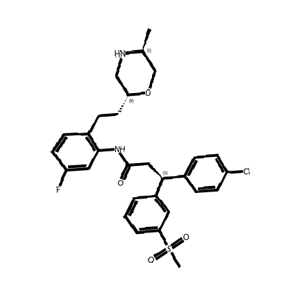 C[C@H]1CO[C@H](CCc2ccc(F)cc2NC(=O)C[C@@H](c2ccc(Cl)cc2)c2cccc(S(C)(=O)=O)c2)CN1